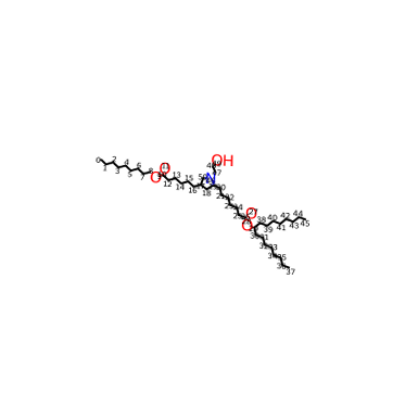 CCCCCCCCCOC(=O)CCCCCC1CC(CCCCCCC(=O)OC(CCCCCCCC)CCCCCCCC)N(CCO)C1